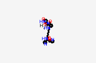 C=C1c2c(NCCCCCCC(=O)NC(c3cccnc3)c3cc4cccnc4o3)cccc2C(=O)N1C1CCC(=O)NC1=O